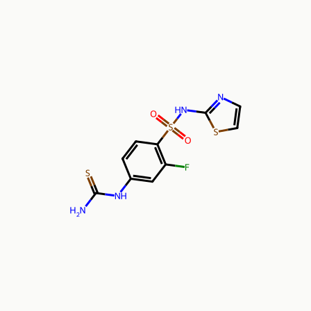 NC(=S)Nc1ccc(S(=O)(=O)Nc2nccs2)c(F)c1